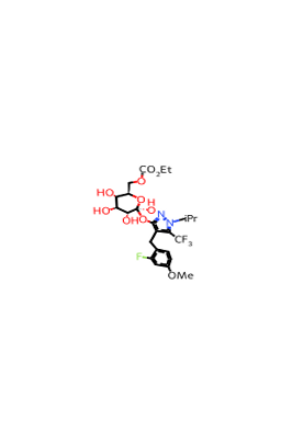 CCOC(=O)OC[C@H]1O[C@@](O)(Oc2nn(C(C)C)c(C(F)(F)F)c2Cc2ccc(OC)cc2F)[C@H](O)[C@@H](O)[C@@H]1O